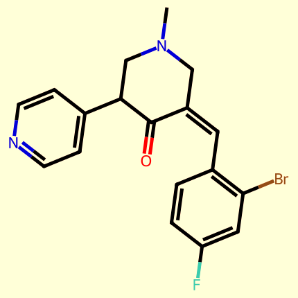 CN1CC(=Cc2ccc(F)cc2Br)C(=O)C(c2ccncc2)C1